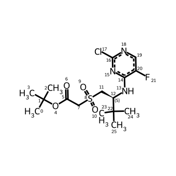 CC(C)(C)OC(=O)CS(=O)(=O)C[C@@H](Nc1nc(Cl)ncc1F)C(C)(C)C